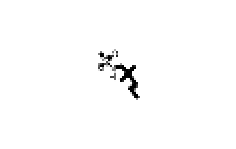 CC=CC(C)(C)CNS(C)(=O)=O